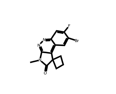 CN1C(=O)C2(CCC2)c2c1nnc1cc(F)c(Br)cc21